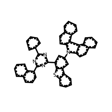 c1ccc(-c2nc(-c3cccc4ccccc34)nc(-c3cc(-n4c5ccc6ccccc6c5c5c6ccccc6ccc54)cc4c3sc3ccccc34)n2)cc1